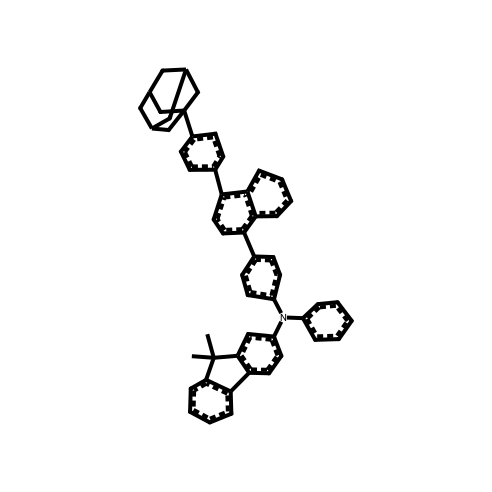 CC1(C)c2ccccc2-c2ccc(N(c3ccccc3)c3ccc(-c4ccc(-c5ccc(C67CC8CC(CC(C8)C6)C7)cc5)c5ccccc45)cc3)cc21